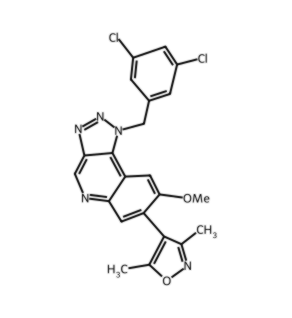 COc1cc2c(cc1-c1c(C)noc1C)ncc1nnn(Cc3cc(Cl)cc(Cl)c3)c12